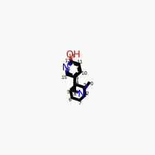 CN1C2CCC(CC2)C1c1ccc(O)nc1